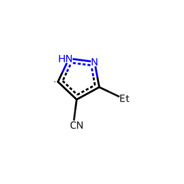 CCc1n[nH][c]c1C#N